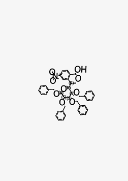 C[C@H](c1cc([N+](=O)[O-])ccc1C(=O)O)[C@H]1O[C@H](OCc2ccccc2)[C@@H](OCc2ccccc2)[C@@H](OCc2ccccc2)[C@H]1OCc1ccccc1